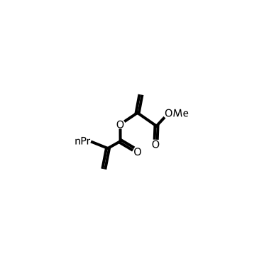 C=C(CCC)C(=O)OC(=C)C(=O)OC